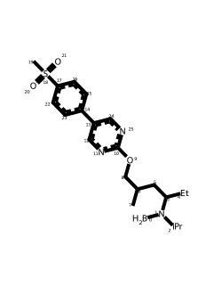 BN(C(C)C)C(CC)CC(C)COc1ncc(-c2ccc(S(C)(=O)=O)cc2)cn1